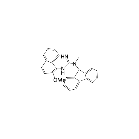 COc1ccc2ccccc2c1NC(=N)N(C)C1c2ccccc2-c2ccccc21